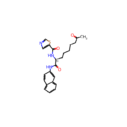 CC(=O)CCCCC[C@H](NC(=O)c1cncs1)C(=O)Nc1ccc2ccccc2c1